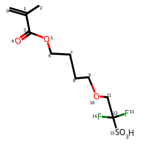 C=C(C)C(=O)OCCCCOCC(F)(F)S(=O)(=O)O